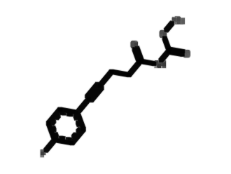 CC(C)(C)OC(=O)NC(=O)CCC#Cc1ccc(F)cc1